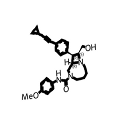 COc1ccc(NC(=O)N2CCCCN3[C@H](CO)[C@H](c4ccc(C#CC5CC5)cc4)[C@@H]3C2)cc1